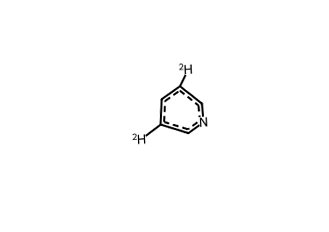 [2H]c1cncc([2H])c1